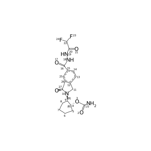 NC(=O)O[C@@H]1CCCC[C@H]1N1Cc2ccc(C(=O)NNC(=O)C(F)F)cc2C1=O